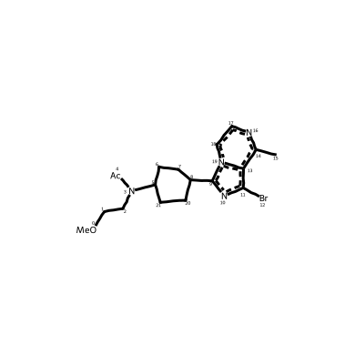 COCCN(C(C)=O)C1CCC(c2nc(Br)c3c(C)nccn23)CC1